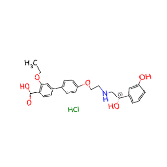 CCOc1cc(-c2ccc(OCCNC[C@@H](O)c3cccc(O)c3)cc2)ccc1C(=O)O.Cl